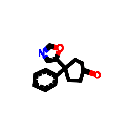 O=C1CCC(c2ccccc2)(c2cnco2)CC1